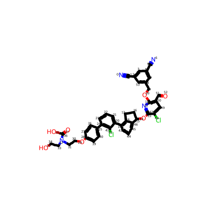 N#Cc1cc(C#N)cc(COc2nc(OC3CCc4c(-c5cccc(-c6ccc(OCCN(CCO)C(=O)O)cc6)c5Cl)cccc43)c(Cl)cc2C=O)c1